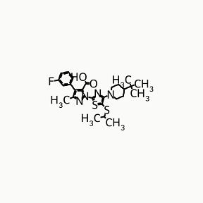 Cc1nn(-c2nc(N3CCC(C(C)(C)C)CC3)c(SC(C)C)s2)c(C(=O)O)c1-c1cccc(F)c1